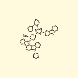 N#Cc1cc(-c2nc(-c3ccc4sc5ccccc5c4c3)nc(-c3ccccc3-c3ccccc3)n2)ccc1-n1c2ccccc2c2ccc3c(c4ccccc4n3-c3ccccc3)c21